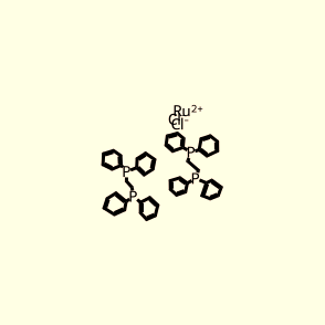 [Cl-].[Cl-].[Ru+2].c1ccc(P(CCP(c2ccccc2)c2ccccc2)c2ccccc2)cc1.c1ccc(P(CCP(c2ccccc2)c2ccccc2)c2ccccc2)cc1